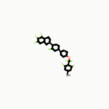 CCCc1cc(F)c(C(F)(F)Oc2ccc(-c3ccc(-c4ccc5c(F)c(F)c(F)cc5c4)c(F)c3)cc2)c(F)c1